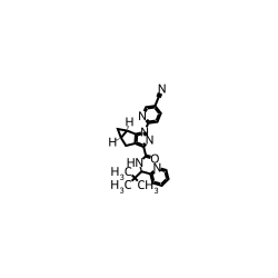 CC(C)(C)[C@@H](NC(=O)c1nn(-c2ccc(C#N)cn2)c2c1C[C@H]1C[C@@H]21)c1ccccn1